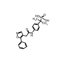 CC(C)(c1ccc(NC(=O)Cc2cnoc2-c2ccccc2)cc1)P(=O)(O)O